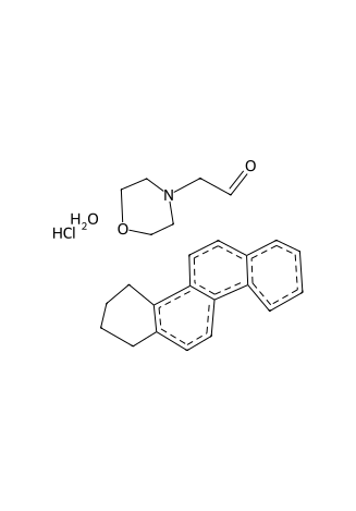 Cl.O.O=CCN1CCOCC1.c1ccc2c(c1)ccc1c3c(ccc12)CCCC3